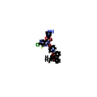 CC(C)(C)[Si](OC[C@@H]1CC[C@@]2(COc3nc(OC(=O)N4C5CCC4CNC5)c4cnc(Cl)c(F)c4n3)CCCN12)(c1ccccc1)c1ccccc1